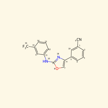 N#Cc1cccc(-c2coc(Nc3cccc(C(F)(F)F)c3)n2)c1